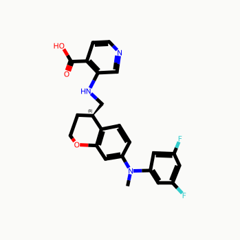 CN(c1cc(F)cc(F)c1)c1ccc2c(c1)OCC[C@H]2CNc1cnccc1C(=O)O